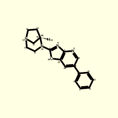 c1ccc(-c2cnc3nc(N4CCN5CC[C@@H]4C5)oc3c2)cc1